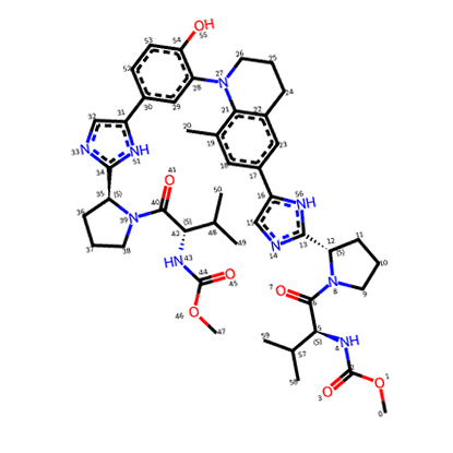 COC(=O)N[C@H](C(=O)N1CCC[C@H]1c1ncc(-c2cc(C)c3c(c2)CCCN3c2cc(-c3cnc([C@@H]4CCCN4C(=O)[C@@H](NC(=O)OC)C(C)C)[nH]3)ccc2O)[nH]1)C(C)C